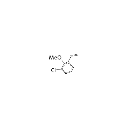 C=[C]c1cccc(Cl)c1OC